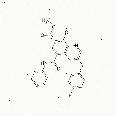 COC(=O)c1cc(C(=O)Nc2ccncc2)c2cc(Cc3ccc(F)cc3)cnc2c1O